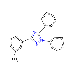 Cc1cccc(-c2nc(-c3ccccc3)n(-c3ccccc3)n2)c1